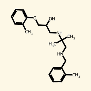 Cc1ccccc1CNCC(C)(C)NCC(O)COc1ccccc1C